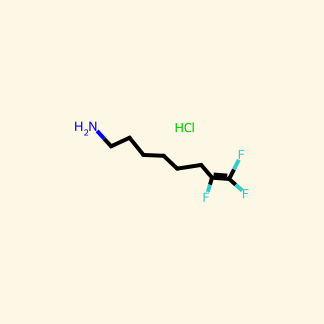 Cl.NCCCCCCC(F)=C(F)F